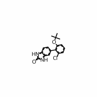 CC(C)(C)Oc1cccc(Cl)c1-c1ccc2[nH]c(=O)[nH]c2c1